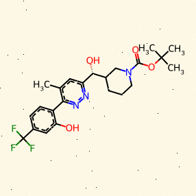 Cc1cc([C@H](O)C2CCCN(C(=O)OC(C)(C)C)C2)nnc1-c1ccc(C(F)(F)F)cc1O